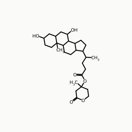 CC(CCC(=O)OC1(C)CCOC(=O)C1)C1CCC2C1CCC1C2C(O)CC2CC(O)CCC21C